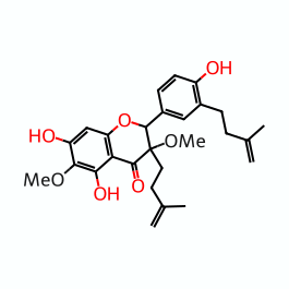 C=C(C)CCc1cc(C2Oc3cc(O)c(OC)c(O)c3C(=O)C2(CCC(=C)C)OC)ccc1O